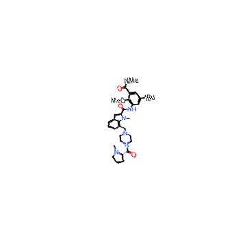 CNC(=O)c1cc(C(C)(C)C)cc(NC(=O)c2cc3cccc(CN4CCN(C(=O)[C@@H]5CCCN5C)CC4)c3n2C)c1OC